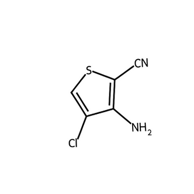 N#Cc1scc(Cl)c1N